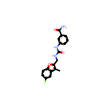 Cc1c(CNC(=O)Nc2cccc(C(N)=O)c2)oc2ccc(F)cc12